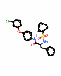 O=C(Nc1ccc(Oc2cccc(Cl)c2)cc1)[C@H](Cc1cc[c]cc1)NS(=O)(=O)c1ccccc1